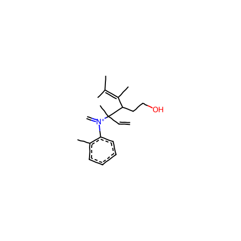 C=CC(C)(C(CCO)C(C)=C(C)C)[N+](=C)c1ccccc1C